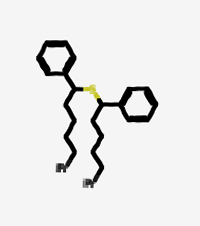 CC(C)CCCCC(SC(CCCCC(C)C)c1ccccc1)c1ccccc1